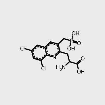 NC(Cc1nc2c(Cl)cc(Cl)cc2cc1CP(=O)(O)O)C(=O)O